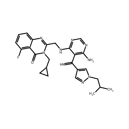 CC(C)Cn1cc(C(=N)c2c(N)ncnc2NCc2nc3cccc(F)c3c(=O)n2CC2CC2)cn1